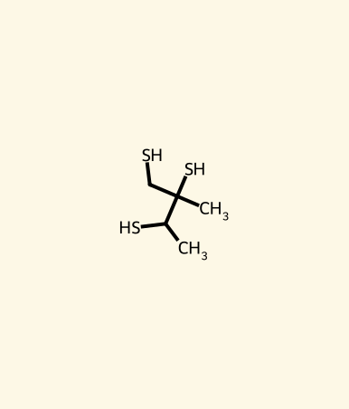 CC(S)C(C)(S)CS